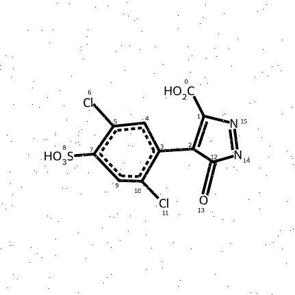 O=C(O)C1=C(c2cc(Cl)c(S(=O)(=O)O)cc2Cl)C(=O)N=N1